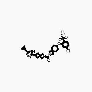 CS(=O)(=O)c1ccc(Cl)cc1OC1CCC2(CC1)CN(C(=O)N1CC3(CC(c4nnc(C5CC5)[nH]4)C3)C1)C2